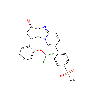 CS(=O)(=O)c1ccc(-c2ccc3nc4c(n3c2)[C@H](c2ccccc2OC(F)F)CC4=O)cc1